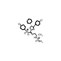 C[C@@H](C/N=C(/NS(=O)(=O)c1ccc(Cl)cc1)N1C[C@H](c2ccccc2)C(c2ccc(Cl)cc2)=N1)NS(N)(=O)=O